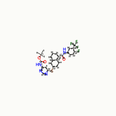 CC(C)(C)OC(=O)Nc1cc(Sc2ccc3c(C(=O)Nc4ccc(F)c(C(F)(F)F)c4)cccc3c2)ncn1